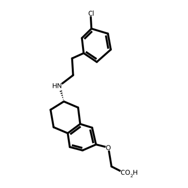 O=C(O)COc1ccc2c(c1)C[C@@H](NCCc1cccc(Cl)c1)CC2